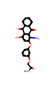 COC(=O)COc1cccc(Oc2cc(O)c3c(c2N)C(=O)c2ccccc2C3=O)c1